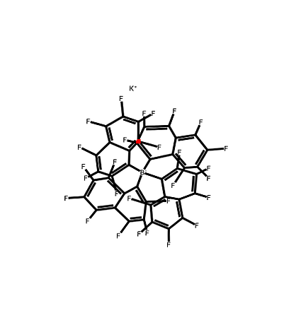 Fc1c(F)c(F)c2c([B-](c3c(F)c(F)c(F)c4c(F)c(F)c(F)c(F)c34)(c3c(F)c(F)c(F)c4c(F)c(F)c(F)c(F)c34)c3c(F)c(F)c(F)c4c(F)c(F)c(F)c(F)c34)c(F)c(F)c(F)c2c1F.[K+]